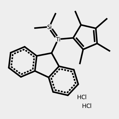 CC1=C(C)C(C)[C]([Ti]([CH]2c3ccccc3-c3ccccc32)=[Si](C)C)=C1C.Cl.Cl